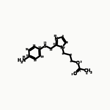 CC(=O)OCCCn1ccnc1CSc1ccc(N)cc1